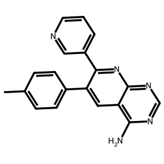 Cc1ccc(-c2cc3c(N)ncnc3nc2-c2cccnc2)cc1